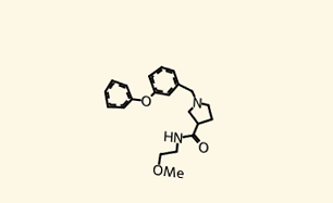 COCCNC(=O)C1CCN(Cc2cccc(Oc3ccccc3)c2)C1